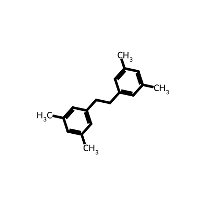 Cc1cc(C)cc(CCc2cc(C)cc(C)c2)c1